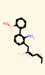 B/C(=C/C=C\C)Cc1cccc(-c2ccccc2BO)c1N